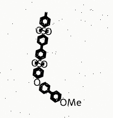 COc1ccc(C2C=CC(Oc3ccc(S(=O)(=O)c4ccc(C5C=CC(S(=O)(=O)c6ccc(C)cc6)=CC5)cc4)cc3)=CC2)cc1